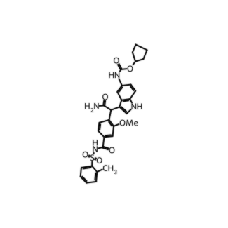 COc1cc(C(=O)NS(=O)(=O)c2ccccc2C)ccc1C(C(N)=O)c1c[nH]c2ccc(NC(=O)OC3CCCC3)cc12